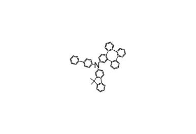 CC1(C)c2ccccc2-c2ccc(N(c3ccc(-c4ccccc4)cc3)c3ccc4c(c3)-c3ccccc3-c3ccccc3-c3ccccc3-4)cc21